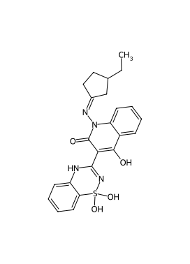 CCC1CCC(=Nn2c(=O)c(C3=NS(O)(O)c4ccccc4N3)c(O)c3ccccc32)C1